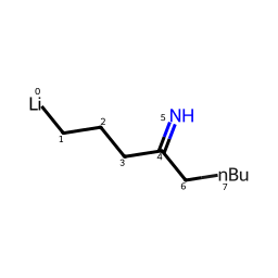 [Li][CH2]CCC(=N)CCCCC